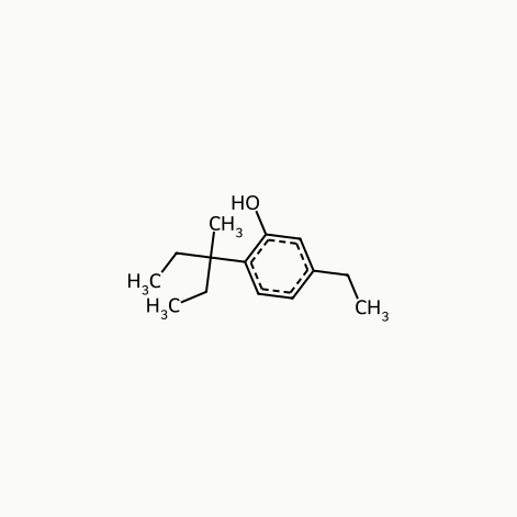 CCc1ccc(C(C)(CC)CC)c(O)c1